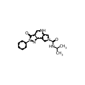 CC(C)NC(=O)n1cc2[nH]cc3c(=O)n(-c4ccccc4)nc-3c2c1